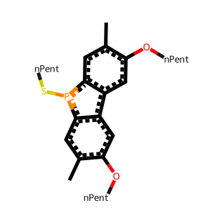 CCCCCOc1cc2c3cc(OCCCCC)c(C)cc3p(SCCCCC)c2cc1C